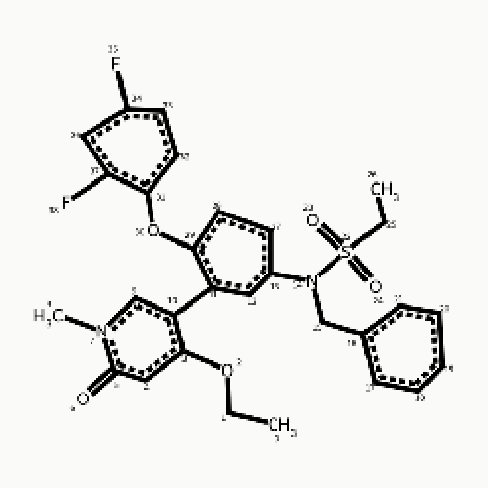 CCOc1cc(=O)n(C)cc1-c1cc(N(Cc2ccccc2)S(=O)(=O)CC)ccc1Oc1ccc(F)cc1F